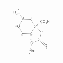 CC1CC(CC(=O)OC(C)(C)C)(C(=O)O)CCO1